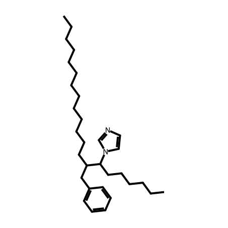 CCCCCCCCCCCCCC(Cc1ccccc1)C(CCCCCC)n1ccnc1